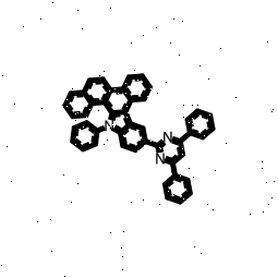 c1ccc(-c2cc(-c3ccccc3)nc(-c3ccc4c(c3)c3c5ccccc5c5ccc6ccccc6c5c3n4-c3ccccc3)n2)cc1